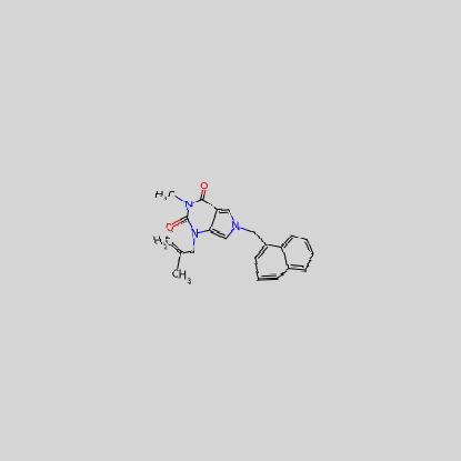 C=C(C)Cn1c(=O)n(C)c(=O)c2cn(Cc3cccc4ccccc34)cc21